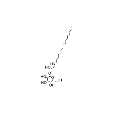 CCCCCCCCCCCCCCCCNCC(O)CO[C@H]1O[C@H](CO)[C@H](O)[C@H](O)[C@H]1O